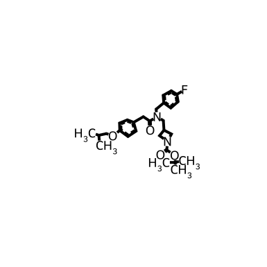 CC(C)COc1ccc(CC(=O)N(Cc2ccc(F)cc2)CC2CN(C(=O)OC(C)(C)C)C2)cc1